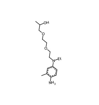 CCN(CCOCCOCC(C)O)c1ccc(N)c(C)c1